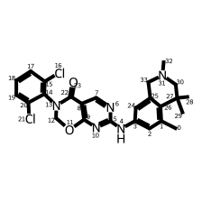 Cc1cc(Nc2ncc3c(n2)OCN(c2c(Cl)cccc2Cl)C3=O)cc2c1C(C)(C)CN(C)C2